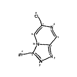 CC(C)c1nnc2cnc(Cl)cn12